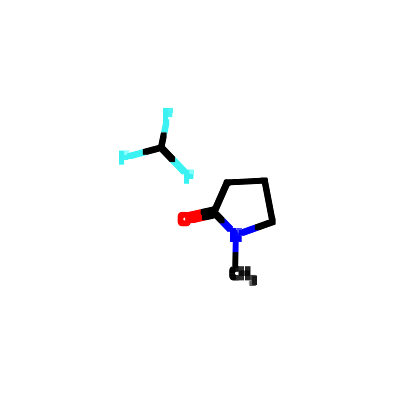 CN1CCCC1=O.FC(F)F